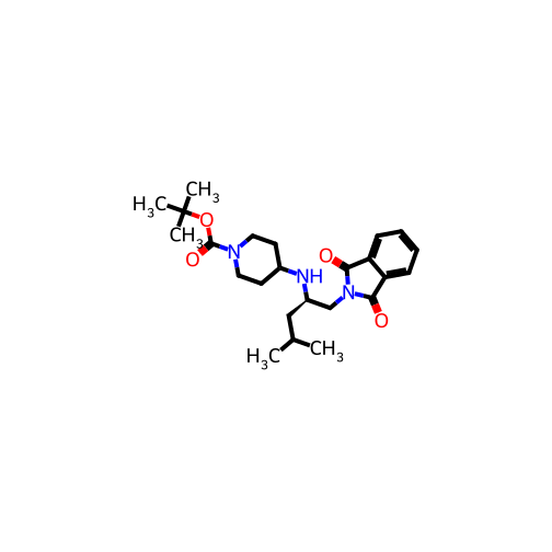 CC(C)C[C@H](CN1C(=O)c2ccccc2C1=O)NC1CCN(C(=O)OC(C)(C)C)CC1